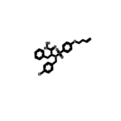 C=CCCOc1ccc(S(=O)(=O)N(Cc2ccc(Cl)cc2)C(Cc2ccccc2)C(=O)NO)cc1